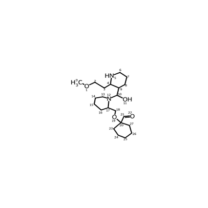 COCCC1NCCCC1C(O)N1CCCCC1COC1(C=O)CCCCC1